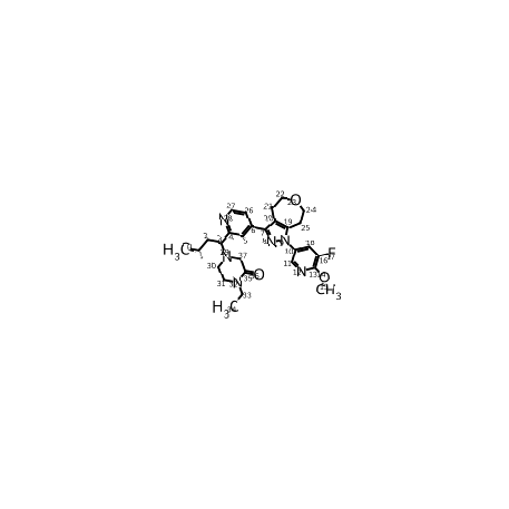 CCCC(c1cc(-c2nn(-c3cnc(OC)c(F)c3)c3c2CCOCC3)ccn1)N1CCN(CC)C(=O)C1